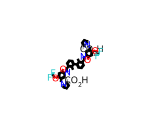 Cc1c(-c2nc3cc(CN4CCC[C@H]4C(=O)O)c(OC(F)F)cc3o2)cccc1-c1cccc(-c2nc3cc(CN4CCC[C@H]4C(=O)O)c(OC(F)F)cc3o2)c1C